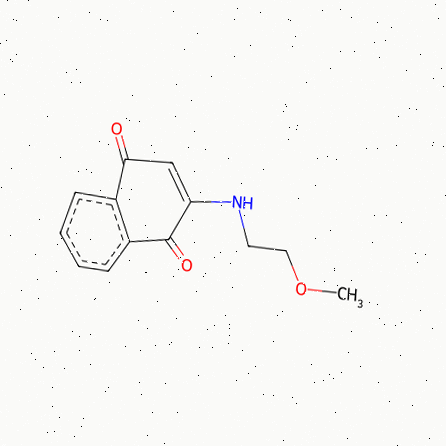 COCCNC1=CC(=O)c2ccccc2C1=O